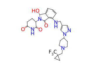 O=C1CCC(N2C(=O)c3c(NCc4cnn(C5CCN(CC6(C(F)(F)F)CC6)CC5)c4)cccc3C2O)C(=O)N1